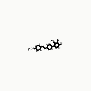 CCCC1CCC(CCC2CC=C(c3ccc(C)c(F)c3Cl)CC2)CC1